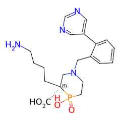 NCCCC[C@@]1(C(=O)O)CN(Cc2ccccc2-c2cncnc2)CCP1(=O)O